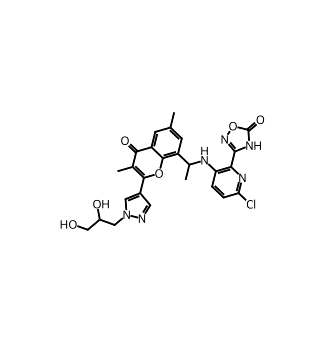 Cc1cc(C(C)Nc2ccc(Cl)nc2-c2noc(=O)[nH]2)c2oc(-c3cnn(CC(O)CO)c3)c(C)c(=O)c2c1